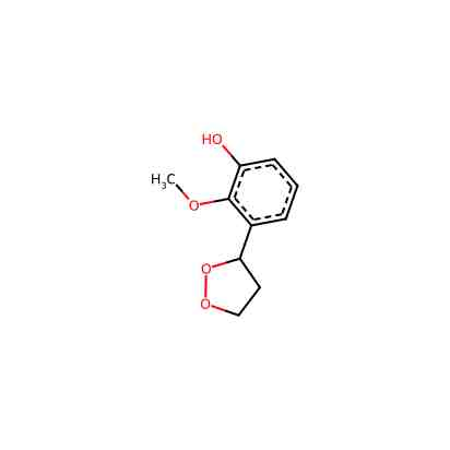 COc1c(O)cccc1C1CCOO1